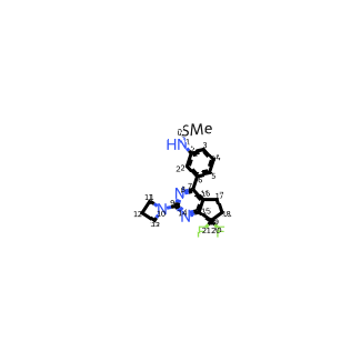 CSNc1cccc(-c2nc(N3CCC3)nc3c2CCC3(F)F)c1